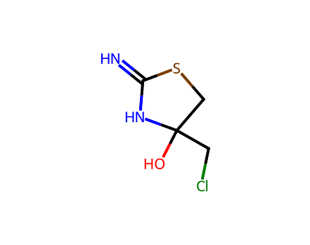 N=C1NC(O)(CCl)CS1